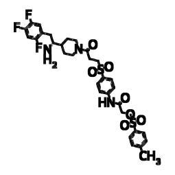 Cc1ccc(S(=O)(=O)OCC(=O)Nc2ccc(S(=O)(=O)CCC(=O)N3CCC([C@H](N)Cc4cc(F)c(F)cc4F)CC3)cc2)cc1